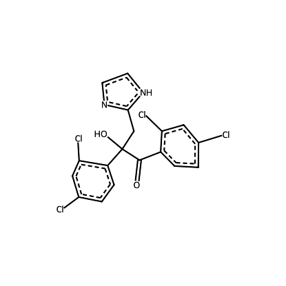 O=C(c1ccc(Cl)cc1Cl)C(O)(Cc1ncc[nH]1)c1ccc(Cl)cc1Cl